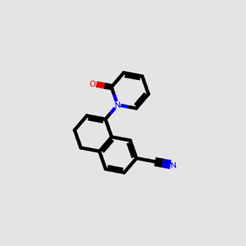 N#Cc1ccc2c(c1)C(n1ccccc1=O)=CCC2